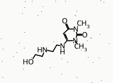 Cn1c(NCCNCCO)cc(=O)n(C)c1=O